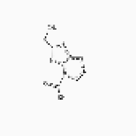 CSc1nc2c(C(=O)O)cncc2s1